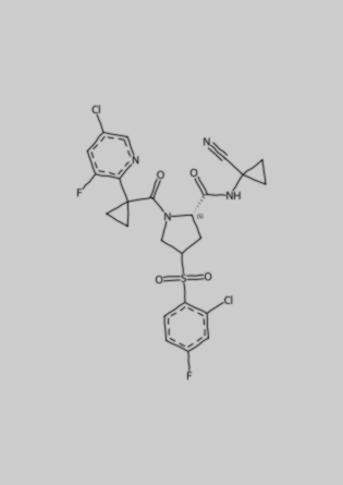 N#CC1(NC(=O)[C@@H]2CC(S(=O)(=O)c3ccc(F)cc3Cl)CN2C(=O)C2(c3ncc(Cl)cc3F)CC2)CC1